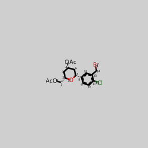 CC(=O)OC[C@@H]1C[C@H](OC(C)=O)C[C@H](c2ccc(Cl)c(CBr)c2)O1